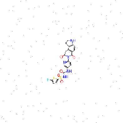 O=C(Nc1ccc(N2C(=O)Cc3c(ccc4c3CCN4)C2=O)nc1)NS(=O)(=O)c1ccc(F)s1